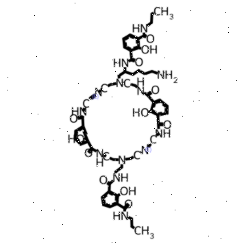 CCCNC(=O)c1cccc(C(=O)NCCN2CC/N=C/CNC(=O)c3cccc(c3O)C(=O)NCCN(CC(CCCCN)NC(=O)c3cccc(C(=O)NCCC)c3O)CC/N=C/CNC(=O)c3cccc(c3O)C(=O)NCC2)c1O